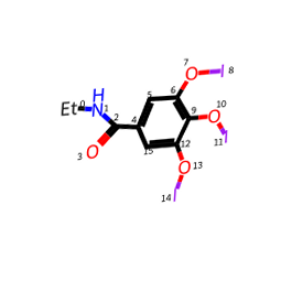 CCNC(=O)c1cc(OI)c(OI)c(OI)c1